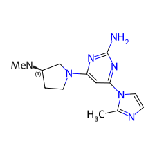 CN[C@@H]1CCN(c2cc(-n3ccnc3C)nc(N)n2)C1